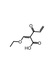 C=CC(=O)C(=COCC)C(=O)O